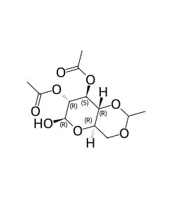 CC(=O)O[C@@H]1[C@@H](OC(C)=O)[C@H](O)O[C@@H]2COC(C)O[C@@H]12